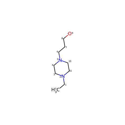 CCN1CCN(CCC[O])CC1